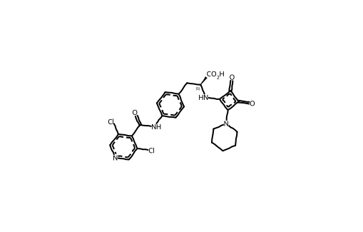 O=C(Nc1ccc(C[C@H](Nc2c(N3CCCCC3)c(=O)c2=O)C(=O)O)cc1)c1c(Cl)cncc1Cl